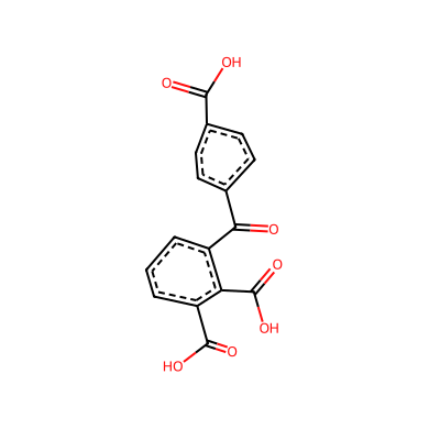 O=C(O)c1ccc(C(=O)c2cccc(C(=O)O)c2C(=O)O)cc1